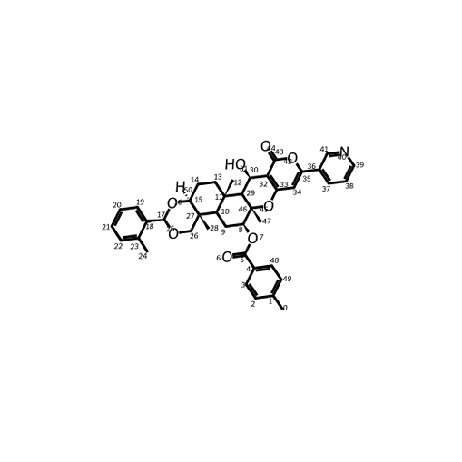 Cc1ccc(C(=O)O[C@H]2CC3[C@](C)(CC[C@@H]4O[C@H](c5ccccc5C)OC[C@@]34C)C3[C@@H](O)c4c(cc(-c5cccnc5)oc4=O)O[C@@]32C)cc1